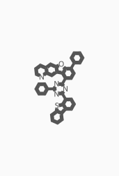 c1ccc(-c2nc(-c3cccc4c3sc3ccccc34)nc(-c3ccc(-c4ccccc4)c4oc5cc6cccnc6cc5c34)n2)cc1